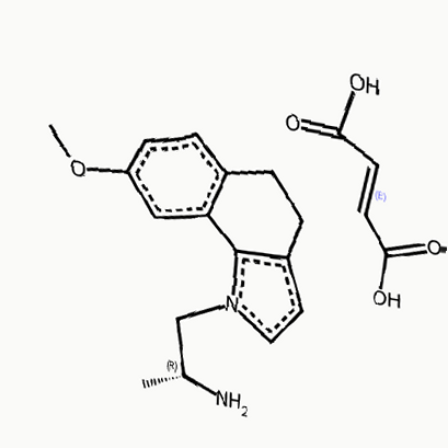 COc1ccc2c(c1)-c1c(ccn1C[C@@H](C)N)CC2.O=C(O)/C=C/C(=O)O